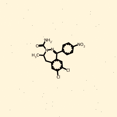 CC1Cc2cc(Cl)c(Cl)cc2C(c2ccc([N+](=O)[O-])cc2)=NN1C(N)=O